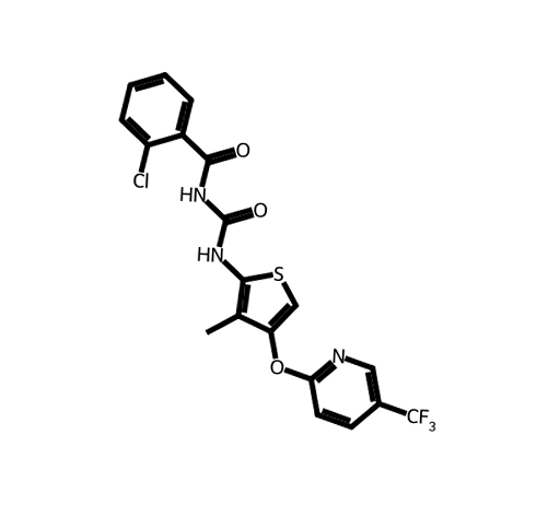 Cc1c(Oc2ccc(C(F)(F)F)cn2)csc1NC(=O)NC(=O)c1ccccc1Cl